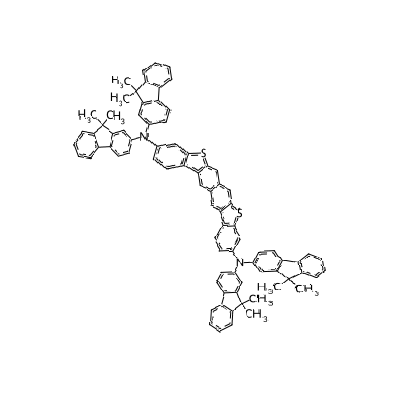 CC1(C)c2ccccc2-c2ccc(N(c3ccc4c(c3)C(C)(C)c3ccccc3-4)c3ccc4c(c3)sc3cc5cc6sc7cc(N(c8ccc9c(c8)C(C)(C)c8ccccc8-9)c8ccc9c(c8)C(C)(C)c8ccccc8-9)ccc7c6cc5cc34)cc21